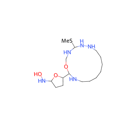 CSC1NCOC(C2CCC(NO)O2)NCCCCCCCNN1